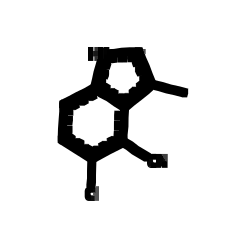 Cc1[c][nH]c2ccc(Cl)c(C#N)c12